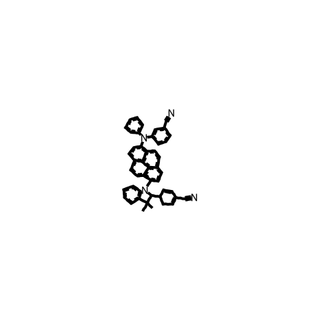 CC1(C)c2ccccc2N(c2ccc3ccc4c(N(c5ccccc5)c5cccc(C#N)c5)ccc5ccc2c3c54)C1C1C=CC(C#N)=CC1